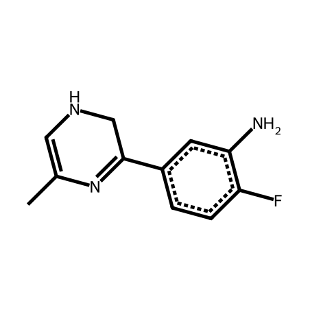 CC1=CNCC(c2ccc(F)c(N)c2)=N1